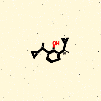 CC(c1cccc([C@@H](C)C2CC2)c1O)C1CC1